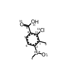 Cc1c([S+](C)[O-])ccc(C(=O)O)c1Cl